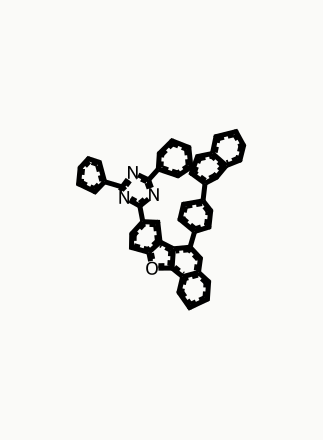 c1ccc(-c2nc(-c3ccccc3)nc(-c3ccc4oc5c6ccccc6cc(-c6ccc(-c7ccc8ccccc8c7)cc6)c5c4c3)n2)cc1